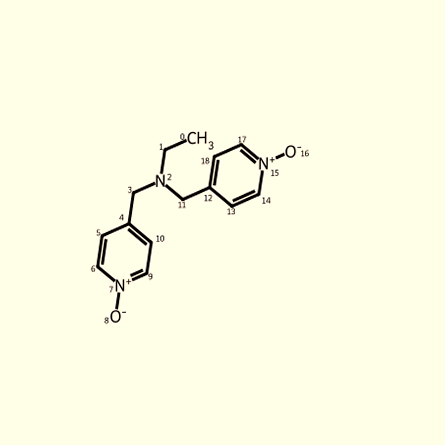 CCN(Cc1cc[n+]([O-])cc1)Cc1cc[n+]([O-])cc1